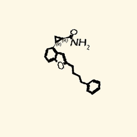 NC(=O)[C@@H]1C[C@H]1c1cccc2oc(CCCCc3ccccc3)cc12